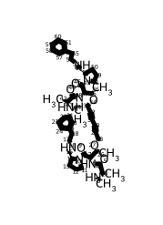 CN[C@@H](C)C(=O)N[C@H](C(=O)N1CCC[C@H]1CNCCc1ccccc1)[C@@H](C)OCC#CC#CCO[C@H](C)[C@H](NC(=O)[C@H](C)NC)C(=O)N1CCC[C@H]1CNCCc1ccccc1